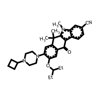 CCC(CC)Oc1cc2c(cc1N1CCN(C3CCC3)CC1)C(C)(C)c1c(c3ccc(C#N)cc3n1C)C2=O